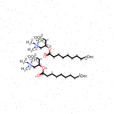 CCCCCCCCCCCCCCCCCC(=O)OC(CC(=O)[O-])C[N+](C)(C)C.CCCCCCCCCCCCCCCCCC(=O)OC(CC(=O)[O-])C[N+](C)(C)C